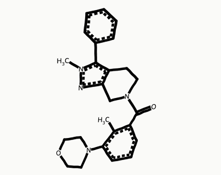 Cc1c(C(=O)N2CCc3c(nn(C)c3-c3ccccc3)C2)cccc1N1CCOCC1